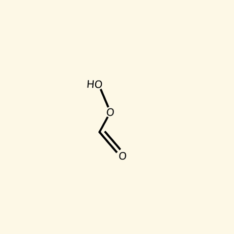 O=COO